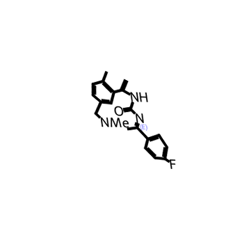 C=C(NC(=O)/N=C(\C)c1ccc(F)cc1)c1cc(CNC)ccc1C